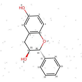 Oc1ccc2c(c1)C[C@H](O)[C@@H](c1ccccc1)O2